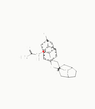 NC(=O)Nc1cc(Cl)cnc1OCC(=O)N1C2CCC1CC(Oc1ccc(F)cc1)C2